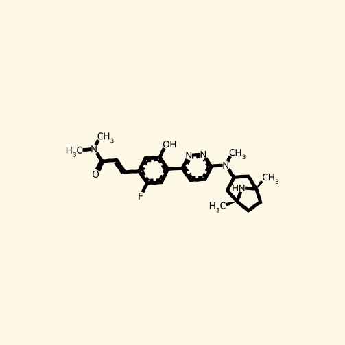 CN(C)C(=O)/C=C/c1cc(O)c(-c2ccc(N(C)C3C[C@]4(C)CC[C@](C)(C3)N4)nn2)cc1F